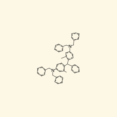 Cc1cc(N(Cc2ccccc2)Cc2ccccc2)ccc1C(c1ccccc1)c1ccc(N(Cc2ccccc2)Cc2ccccc2)cc1C